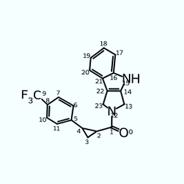 O=C(C1CC1c1ccc(C(F)(F)F)cc1)N1Cc2[nH]c3ccccc3c2C1